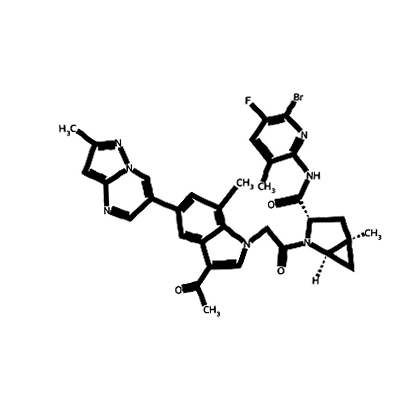 CC(=O)c1cn(CC(=O)N2[C@H](C(=O)Nc3nc(Br)c(F)cc3C)C[C@@]3(C)C[C@@H]23)c2c(C)cc(-c3cnc4cc(C)nn4c3)cc12